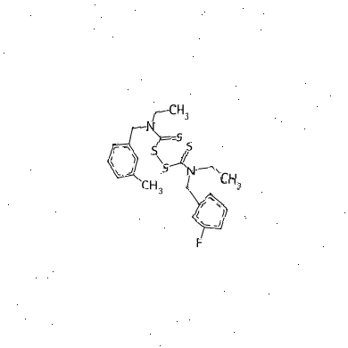 CCN(Cc1cccc(C)c1)C(=S)SSC(=S)N(CC)Cc1cccc(F)c1